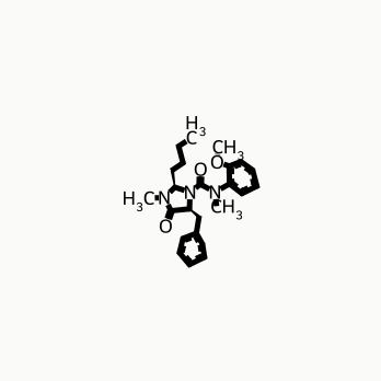 CCCC[C@@H]1N(C)C(=O)[C@H](Cc2ccccc2)N1C(=O)N(C)c1ccccc1OC